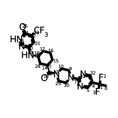 CC(F)(F)c1cnc(N2CCN(C(=O)[C@@H]3CCC[C@H](Nc4cc(C(F)(F)F)c(=O)[nH]n4)C3)CC2)nc1